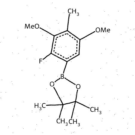 COc1cc(B2OC(C)(C)C(C)(C)O2)c(F)c(OC)c1C